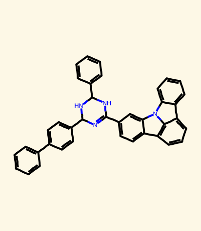 c1ccc(-c2ccc(C3N=C(c4ccc5c6cccc7c8ccccc8n(c5c4)c76)NC(c4ccccc4)N3)cc2)cc1